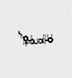 CCCOc1ccc(-c2ncc(CN3Cc4nc(-c5cccc(F)c5F)[nH]c4C=N3)cc2F)c(C(F)(F)F)c1